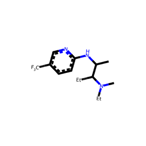 CCC(C(C)Nc1ccc(C(F)(F)F)cn1)N(C)CC